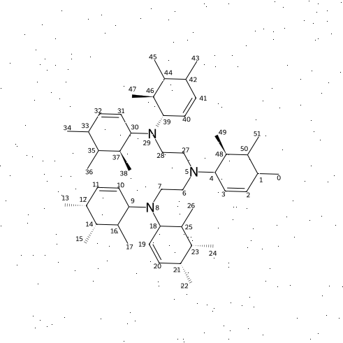 CC1C=CC(N(CCN(C2C=C[C@@H](C)[C@@H](C)C2C)C2C=C[C@@H](C)[C@@H](C)C2C)CCN(C2C=CC(C)C(C)[C@@H]2C)[C@H]2C=CC(C)C(C)[C@@H]2C)[C@@H](C)C1C